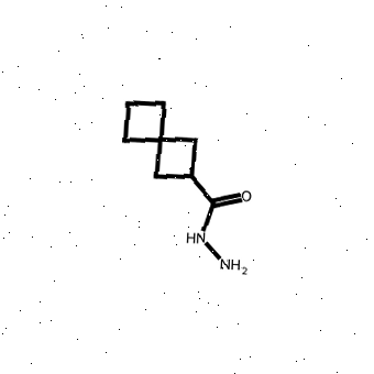 NNC(=O)C1CC2(CCC2)C1